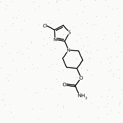 NC(=O)OC1CCN(c2nc(Cl)cs2)CC1